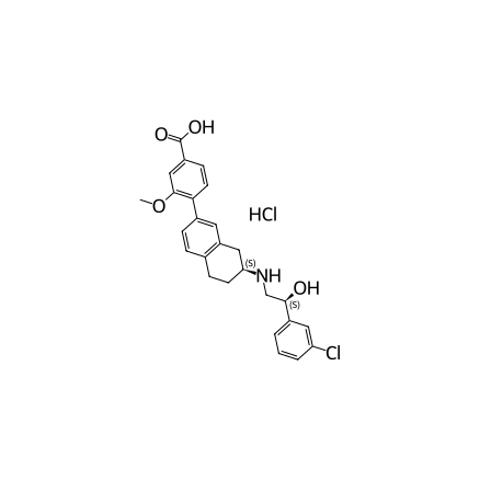 COc1cc(C(=O)O)ccc1-c1ccc2c(c1)C[C@@H](NC[C@@H](O)c1cccc(Cl)c1)CC2.Cl